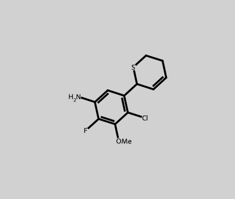 COc1c(F)c(N)cc(C2C=CCCS2)c1Cl